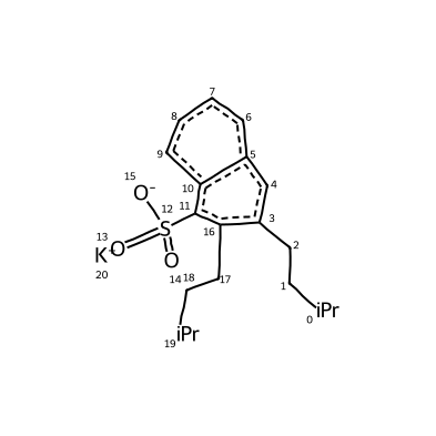 CC(C)CCc1cc2ccccc2c(S(=O)(=O)[O-])c1CCC(C)C.[K+]